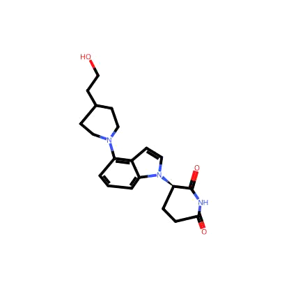 O=C1CC[C@@H](n2ccc3c(N4CCC(CCO)CC4)cccc32)C(=O)N1